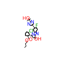 CCCCOC(=O)c1cccc(Cl)c1[C@H]1C[C@H](O)c2nc3cc(F)c(-c4cnc(C(C)(C)O)nc4)cc3n21